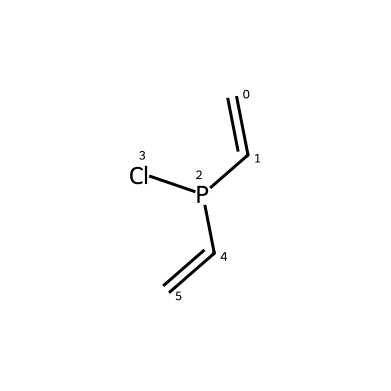 C=CP(Cl)C=C